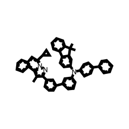 Cc1c(-c2cccc(-c3cccc(N(c4ccc(-c5ccccc5)cc4)c4ccc5c(c4)C(C)(C)c4ccccc4-5)c3)c2)nn2c(C3CC3)cc3ccccc3c12